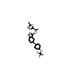 Cc1nnc(C(C)Oc2noc3ccc(-c4ccc(OC(F)(F)F)cc4)cc23)o1